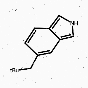 CC(C)(C)Cc1ccc2c[nH]cc2c1